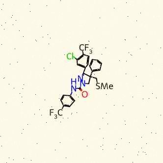 CSCC1(c2ccccc2)CN(C(=O)Nc2ccc(C(F)(F)F)cc2)N=C1c1ccc(C(F)(F)F)c(Cl)c1